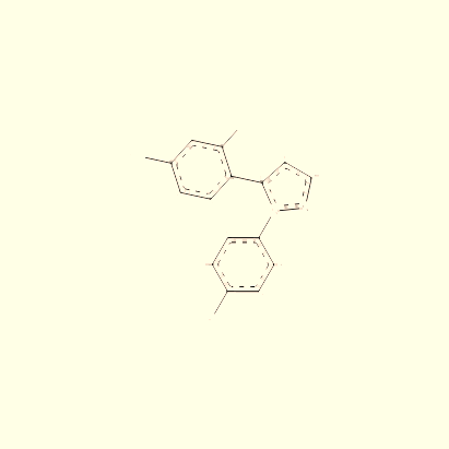 Oc1cc(F)ccc1-c1ccnn1-c1ccc(Br)cc1